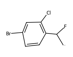 [CH2]C(F)c1ccc(Br)cc1Cl